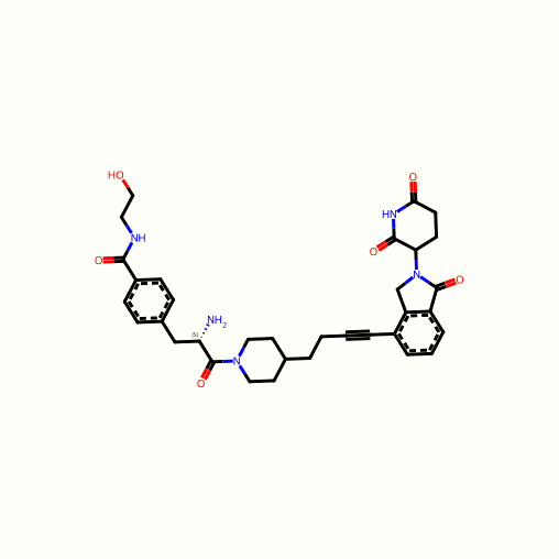 N[C@@H](Cc1ccc(C(=O)NCCO)cc1)C(=O)N1CCC(CCC#Cc2cccc3c2CN(C2CCC(=O)NC2=O)C3=O)CC1